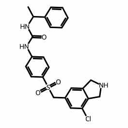 CC(NC(=O)Nc1ccc(S(=O)(=O)Cc2cc(Cl)c3c(c2)CNC3)cc1)c1ccccc1